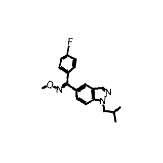 CO/N=C(\c1ccc(F)cc1)c1ccc2c(cnn2CC(C)C)c1